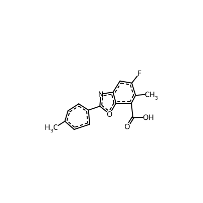 Cc1ccc(-c2nc3cc(F)c(C)c(C(=O)O)c3o2)cc1